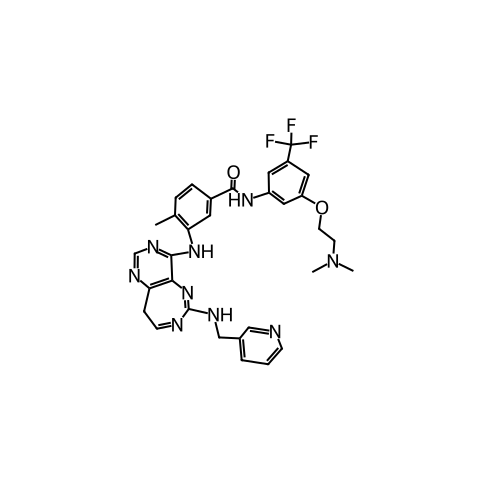 Cc1ccc(C(=O)Nc2cc(OCCN(C)C)cc(C(F)(F)F)c2)cc1Nc1ncnc2c1N=C(NCc1cccnc1)N=CC2